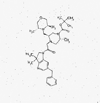 C[C@@H]1CN(CC(=O)N2CC(C)(C)c3ncc(Cc4ccccc4)cc32)[C@@H](CN2[C@H](C)COC[C@H]2C)CN1C(=O)OC(C)(C)C